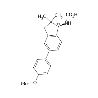 CC(C)(C)Oc1ccc(-c2ccc3c(c2)CC(C)(C)[C@H]3NC(=O)O)cc1